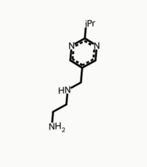 CC(C)c1ncc(CNCCN)cn1